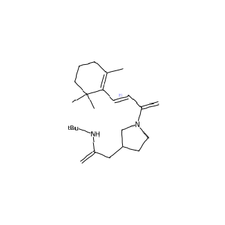 C=C(CC1CCN(C(=C)/C=C/C2=C(C)CCCC2(C)C)C1)NC(C)(C)C